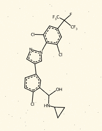 OC(NC1CC1)c1cc(-c2cnn(-c3c(Cl)cc(C(F)(C(F)(F)F)C(F)(F)F)cc3Cl)c2)ccc1Cl